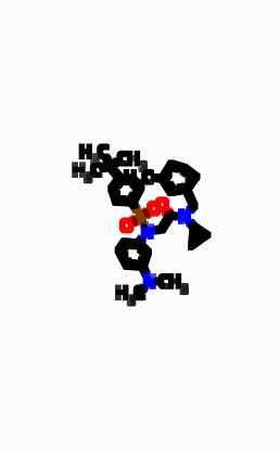 Cc1cccc(CN(C(=O)CN(c2cccc(N(C)C)c2)S(=O)(=O)c2ccc(C(C)(C)C)cc2)C2CC2)c1